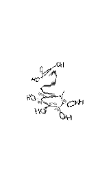 CN1[C@H](O)[C@@H](O)[C@@H](O)[C@H](O)[C@H]1CCP(=O)(O)O